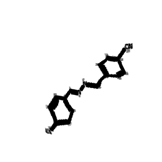 CCc1ccc(/C=N/N=C/c2ccc(C#N)cc2)cc1